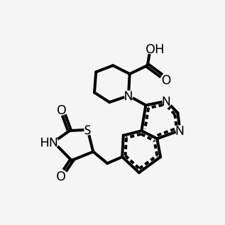 O=C1NC(=O)C(Cc2ccc3ncnc(N4CCCCC4C(=O)O)c3c2)S1